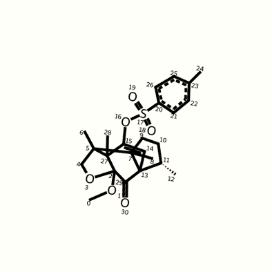 COC12OCC3(C)C4(C)CC[C@H](C)C4(C=C(OS(=O)(=O)c4ccc(C)cc4)C13C)C2=O